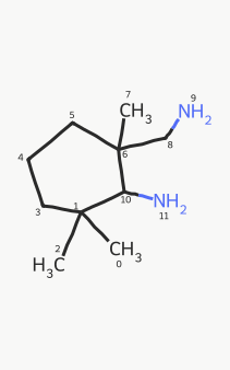 CC1(C)CCCC(C)(CN)C1N